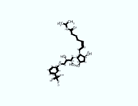 CC(C)OC(=O)CCC/C=C\C[C@@H]1[C@@H](C[C@H](O)[C@@H](O)COc2cccc(C(F)(F)F)c2)[C@H](O)C[C@@H]1O